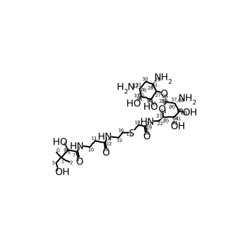 CC(C)(CO)[C@@H](O)C(=O)NCCC(=O)NCCSCC(=O)NC[C@H]1O[C@H](OC2[C@@H](N)C[C@@H](N)[C@H](O)[C@H]2O)[C@H](N)[C@@H](O)[C@@H]1O